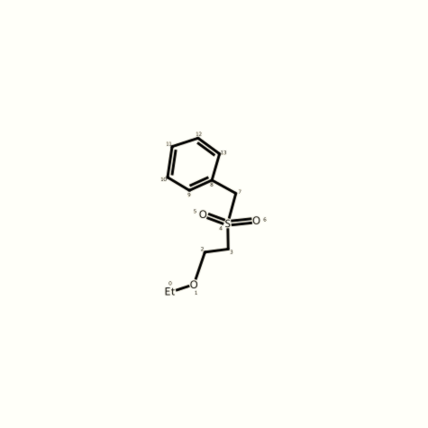 CCOCCS(=O)(=O)Cc1ccccc1